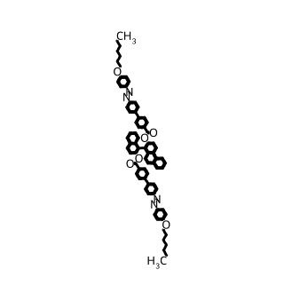 CCCCCCCOc1ccc(/N=N/c2ccc(-c3ccc(C(=O)Oc4ccc5ccccc5c4-c4c(OC(=O)c5ccc(-c6ccc(/N=N/c7ccc(OCCCCCCC)cc7)cc6)cc5)ccc5c4ccc4ccccc45)cc3)cc2)cc1